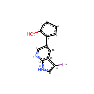 Oc1ccccc1-c1cnc2[nH]cc(I)c2c1